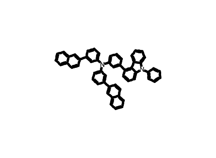 c1ccc(-n2c3ccccc3c3c(-c4cccc(N(c5cccc(-c6ccc7ccccc7c6)c5)c5cccc(-c6ccc7ccccc7c6)c5)c4)cccc32)cc1